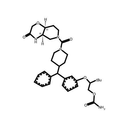 CC(C)(C)C(COC(N)=O)Oc1cccc(C(c2ccccc2)C2CCN(C(=O)N3CC[C@@H]4OCC(=O)N[C@@H]4C3)CC2)c1